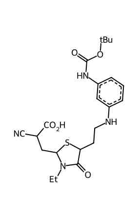 CCN1C(=O)C(CCNc2cccc(NC(=O)OC(C)(C)C)c2)SC1CC(C#N)C(=O)O